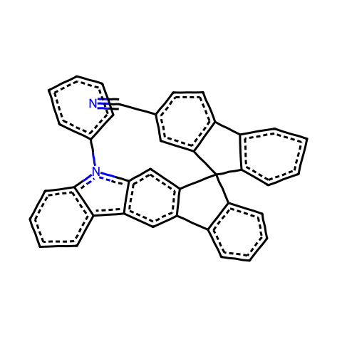 N#Cc1ccc2c(c1)C1(c3ccccc3-2)c2ccccc2-c2cc3c4ccccc4n(-c4ccccc4)c3cc21